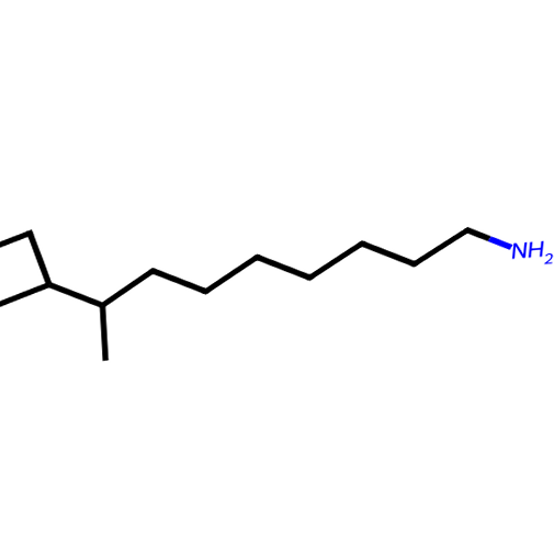 CC(CCCCCCCN)C1CCC1